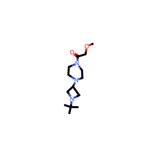 COCC(=O)N1CCN(C2CN(C(C)(C)C)C2)CC1